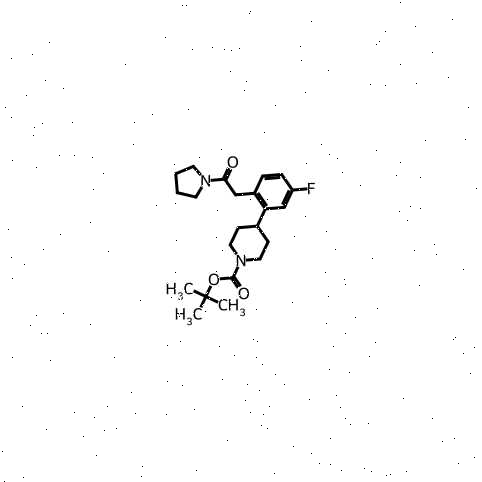 CC(C)(C)OC(=O)N1CCC(c2cc(F)ccc2CC(=O)N2CCCC2)CC1